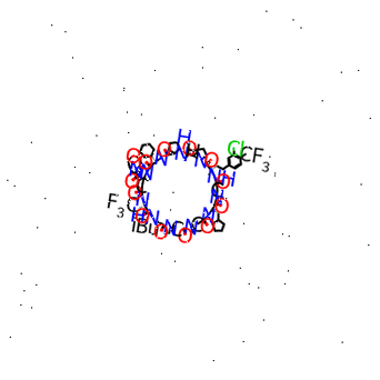 CC[C@H](C)[C@@H]1NC(=O)[C@H](CC(F)(F)F)N(C)C(=O)C[C@@H](C(=O)N2C3CCC2COC3)N(C)C(=O)[C@H](C2CCCCC2)N(C)C(=O)C2(CCCC2)NC(=O)[C@@H]2CCCN2C(=O)[C@H](CCc2ccc(C(F)(F)F)c(Cl)c2)NC(=O)CN(C)C(=O)[C@H](CC2CCCC2)N(C)C(=O)CN(C)C(=O)CN(C)C1=O